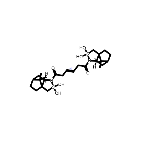 CC1(C)C2CCC13CS(O)(O)N(C(=O)C/C=C/CC(=O)N1[C@H]4CC5CCC4(CS1(O)O)C5(C)C)[C@H]3C2